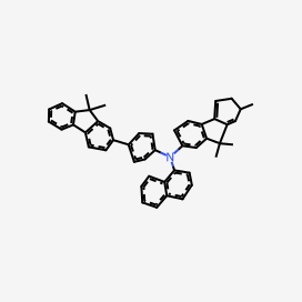 CC1C=C2C(=CC1)c1ccc(N(c3ccc(-c4ccc5c(c4)C(C)(C)c4ccccc4-5)cc3)c3cccc4ccccc34)cc1C2(C)C